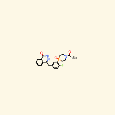 CC(C)(C)C(=O)N1CCP(=O)(c2cc(Cc3n[nH]c(=O)c4ccccc34)ccc2F)CC1